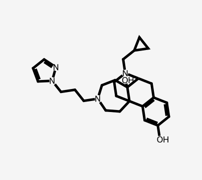 Oc1ccc2c(c1)C13CCN(CCCn4cccn4)CCC1(O)C(C2)N(CC1CC1)CC3